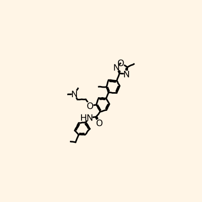 CCc1ccc(NC(=O)c2ccc(-c3ccc(-c4noc(C)n4)cc3C)cc2OCCN(C)C)cc1